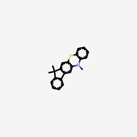 CN1c2ccccc2Sc2cc3c(cc21)-c1ccccc1C3(C)C